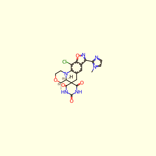 C[C@@H]1OCCN2c3c(cc4c(-c5nccn5C)noc4c3Cl)CC3(C(=O)NC(=O)NC3=O)[C@@H]12